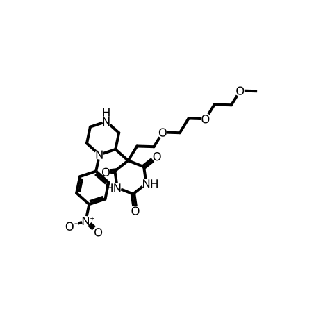 COCCOCCOCCC1(C2CNCCN2c2ccc([N+](=O)[O-])cc2)C(=O)NC(=O)NC1=O